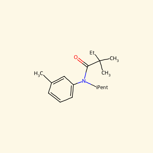 CCCC(C)N(C(=O)C(C)(C)CC)c1cccc(C)c1